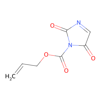 C=CCOC(=O)N1C(=O)C=NC1=O